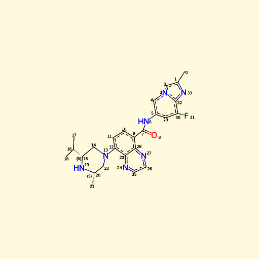 Cc1cn2cc(NC(=O)c3ccc(N4C[C@@H](C(C)C)N[C@@H](C)C4)c4nccnc34)cc(F)c2n1